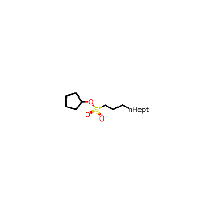 CCCCCCCCCCS(=O)(=O)OC1CCCC1